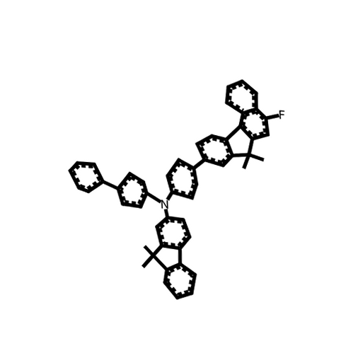 CC1(C)c2ccccc2-c2ccc(N(c3ccc(-c4ccccc4)cc3)c3ccc(-c4ccc5c(c4)C(C)(C)c4cc(F)c6ccccc6c4-5)cc3)cc21